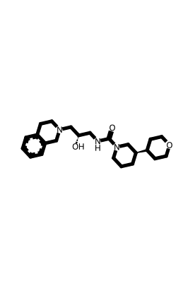 O=C(NC[C@H](O)CN1CCc2ccccc2C1)N1CCC[C@H](C2CCOCC2)C1